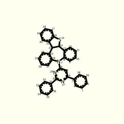 c1ccc(-c2cc(N3c4ccccc4C4Sc5ccccc5C4c4ccccc43)nc(-c3ccccc3)n2)cc1